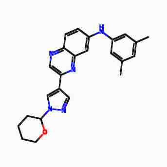 Cc1cc(C)cc(Nc2ccc3ncc(-c4cnn(C5CCCCO5)c4)nc3c2)c1